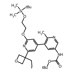 Cc1ncc(NC(=O)OC(C)(C)C)cc1-c1cc(OCCO[Si](C)(C)C(C)(C)C)nc(C2(CF)COC2)c1